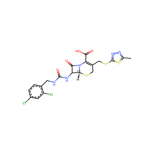 Cc1nnc(SCC2=C(C(=O)O)N3C(=O)C(NC(=O)NCc4ccc(Cl)cc4Cl)[C@H]3SC2)s1